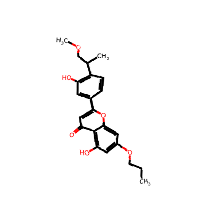 CCCOc1cc(O)c2c(=O)cc(-c3ccc(C(C)COC)c(O)c3)oc2c1